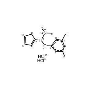 Cc1cc(C)cc([O][Ti]([C]2=CC=CC2)[SiH](C)C)c1.Cl.Cl